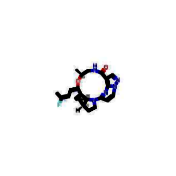 C=C1/C(=C\C=C(/C)F)O[C@@H](C)CNC(=O)c2cnn3ccc(nc23)N2CC[C@H]3C[C@]132